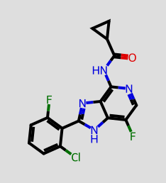 O=C(Nc1ncc(F)c2[nH]c(-c3c(F)cccc3Cl)nc12)C1CC1